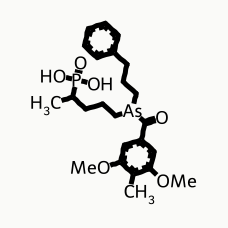 COc1cc(C(=O)[As](CCCc2ccccc2)CCCC(C)P(=O)(O)O)cc(OC)c1C